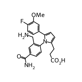 COc1cc(-c2ccc(CCC(=O)O)n2-c2ccc(C(N)=O)cc2CN)ccc1F